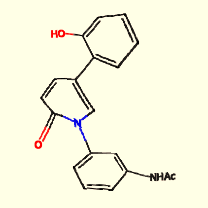 CC(=O)Nc1cccc(-n2cc(-c3ccccc3O)ccc2=O)c1